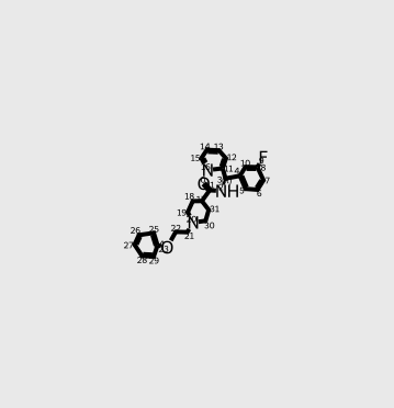 O=C(N[C@H](c1cccc(F)c1)c1ccccn1)C1CCN(CCOc2ccccc2)CC1